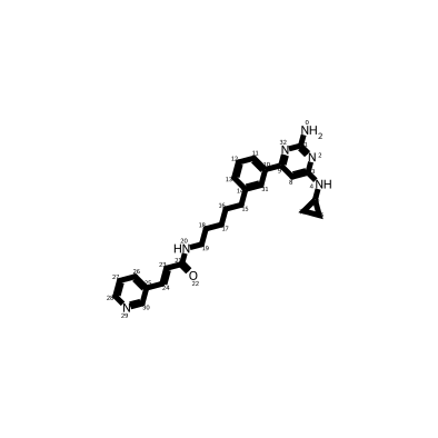 Nc1nc(NC2CC2)cc(-c2cccc(CCCCCNC(=O)/C=C/c3cccnc3)c2)n1